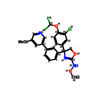 COc1cncc(-c2cccc(C3(c4ccc(OC(F)F)c(Cl)c4)COC(NOC=O)=N3)c2)c1